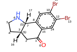 O=C1C[C@@H]2CCN[C@@H]2c2cc(Br)c(Br)cc21